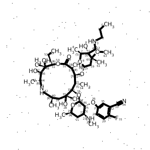 CCCNC[C@]1(O)[C@H](C)O[C@@H](O[C@H]2[C@H](C)[C@@H](O[C@@H]3O[C@H](C)C[C@H](NC)[C@H]3Oc3ccc(F)c(C#N)c3)[C@](C)(O)C[C@@H](C)CN[C@H](C)[C@@H](O)[C@](C)(O)[C@@H](CC)OC(=O)[C@@H]2C)C[C@@]1(C)OC